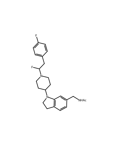 CC(=O)NCc1ccc2c(c1)N(C1CCN(C(F)Cc3ccc(F)cc3)CC1)CC2